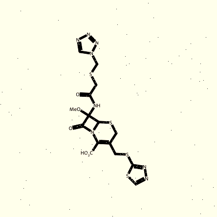 COC1(NC(=O)CSCn2cnnn2)C(=O)N2C(C(=O)O)=C(CSc3nncs3)CSC21